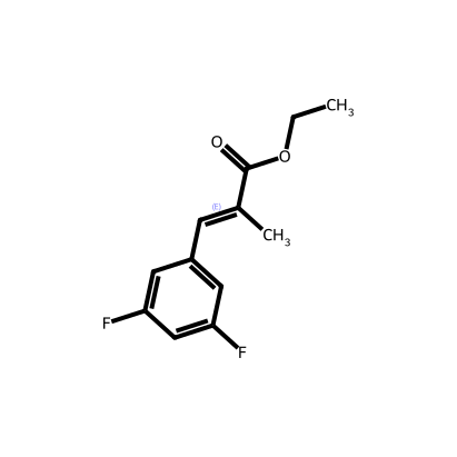 CCOC(=O)/C(C)=C/c1cc(F)cc(F)c1